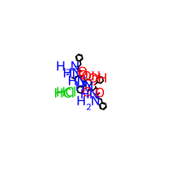 CC(C)[C@H](NC(=O)[C@@H](N)Cc1ccccc1)C(=O)N[C@@H](CC1CCCCC1)[C@H](O)[C@@H](O)[C@H](CC1CCCCC1)NC(=O)[C@@H](NC(=O)[C@@H](N)Cc1ccccc1)C(C)C.Cl.Cl